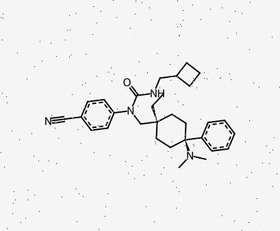 CC[C@]1(CN(C(=O)NCC2CCC2)c2ccc(C#N)cc2)CC[C@](c2ccccc2)(N(C)C)CC1